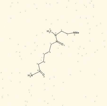 CNCCN(C)C(=O)CCCCCC(N)=O